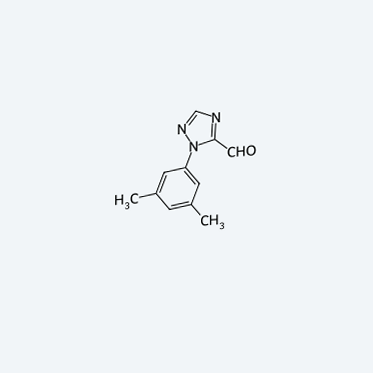 Cc1cc(C)cc(-n2ncnc2C=O)c1